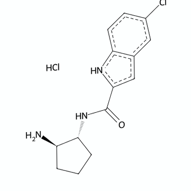 Cl.N[C@@H]1CCC[C@H]1NC(=O)c1cc2cc(Cl)ccc2[nH]1